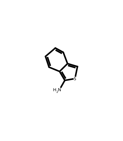 Nc1scc2ccccc12